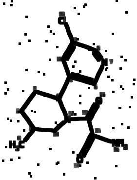 CC1CCC(c2cncc(Cl)c2)N(C(=O)C(N)=O)C1